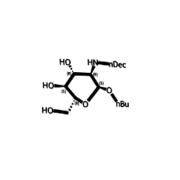 CCCCCCCCCCN[C@H]1[C@@H](OCCCC)O[C@H](CO)[C@@H](O)[C@@H]1O